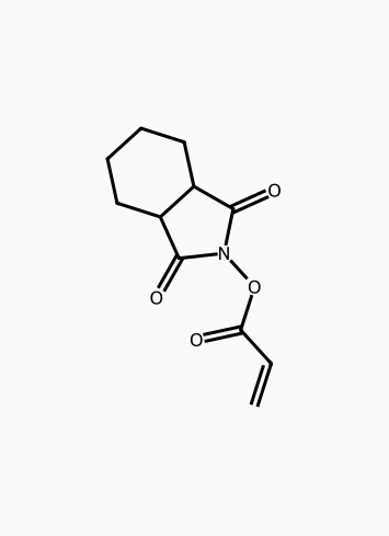 C=CC(=O)ON1C(=O)C2CCCCC2C1=O